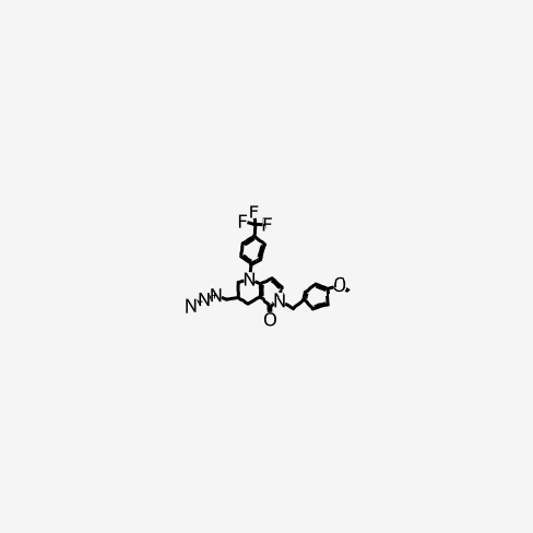 COc1ccc(Cn2ccc3c(c2=O)CC(CN=[N+]=[N-])CN3c2ccc(C(F)(F)F)cc2)cc1